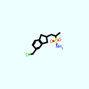 CC(CC1Cc2ccc(CCl)cc2C1)S(N)(=O)=O